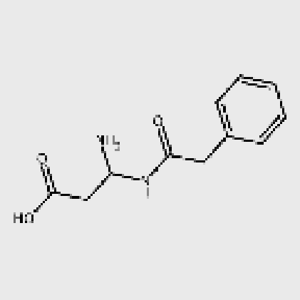 NC(CC(=O)O)NC(=O)Cc1ccccc1